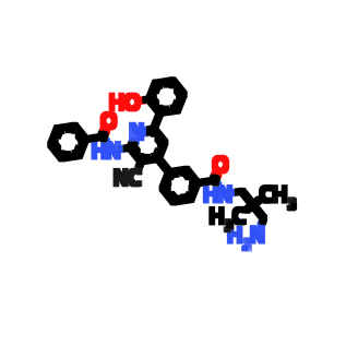 CC(C)(CN)CNC(=O)c1cccc(-c2cc(-c3ccccc3O)nc(NC(=O)c3ccccc3)c2C#N)c1